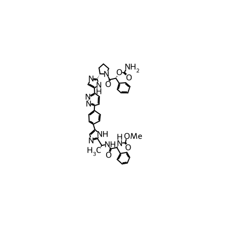 COC(=O)N[C@@H](C(=O)N[C@@H](C)c1ncc(-c2ccc(-c3ccc(-c4cnc([C@@H]5CCCN5C(=O)[C@H](OC(N)=O)c5ccccc5)[nH]4)nn3)cc2)[nH]1)c1ccccc1